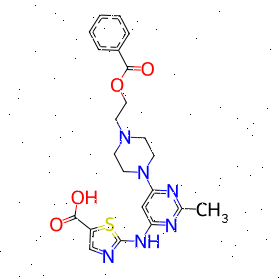 Cc1nc(Nc2ncc(C(=O)O)s2)cc(N2CCN(CCOC(=O)c3ccccc3)CC2)n1